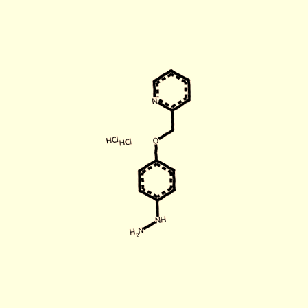 Cl.Cl.NNc1ccc(OCc2ccccn2)cc1